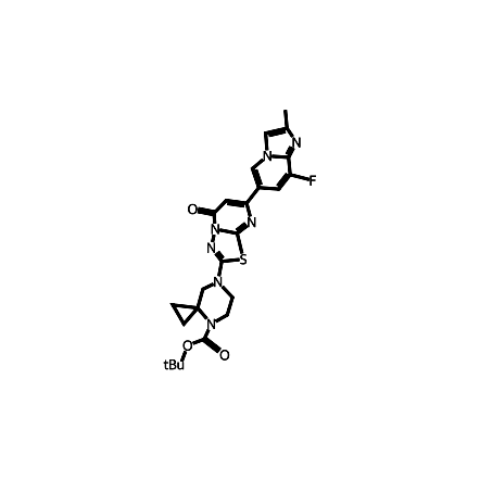 Cc1cn2cc(-c3cc(=O)n4nc(N5CCN(C(=O)OC(C)(C)C)C6(CC6)C5)sc4n3)cc(F)c2n1